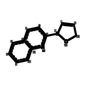 C1=CN(c2ccc3ccccc3n2)OC1